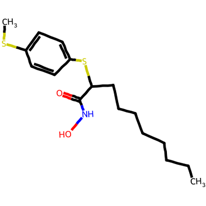 CCCCCCCCC(Sc1ccc(SC)cc1)C(=O)NO